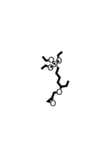 CCO[Si](CCCCC(CC)OCC1CO1)(OCC)OCC